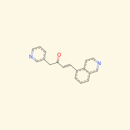 O=C(C=Cc1cccc2cnccc12)Cc1cccnc1